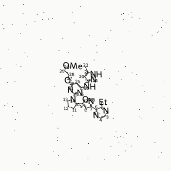 CCc1nccnc1-c1cc(C2CCCN2c2nc(Nc3cc(C)[nH]n3)cc(OCCOC)n2)on1